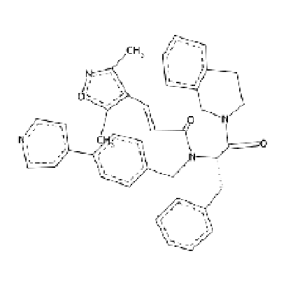 Cc1noc(C)c1/C=C/C(=O)N(Cc1ccc(-c2ccncc2)cc1)[C@@H](Cc1ccccc1)C(=O)N1CCc2ccccc2C1